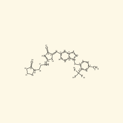 Cc1ccc(Cn2ncc3cc(/C=C4\SC(NCCN5CCCC5=O)=NC4=O)ccc32)c(C(F)(F)F)c1